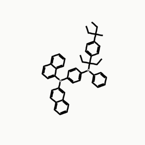 CCC(C)(CC)c1ccc(C(CC)(CC)N(c2ccccc2)c2ccc(N(c3ccc4ccccc4c3)c3cccc4ccccc34)cc2)cc1